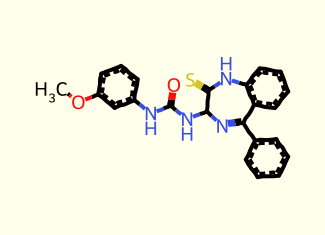 COc1cccc(NC(=O)NC2N=C(c3ccccc3)c3ccccc3NC2=S)c1